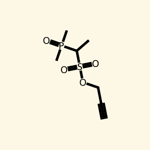 C#CCOS(=O)(=O)C(C)P(C)(C)=O